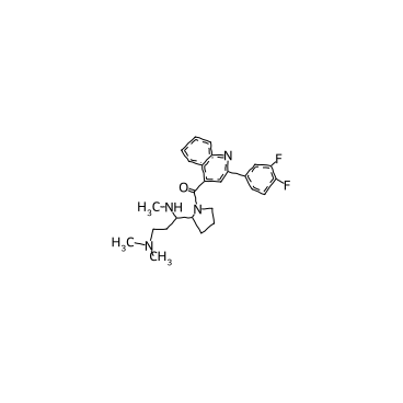 CNC(CCN(C)C)C1CCCN1C(=O)c1cc(-c2ccc(F)c(F)c2)nc2ccccc12